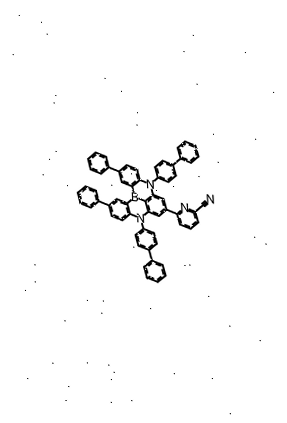 N#Cc1cccc(-c2cc3c4c(c2)N(c2ccc(-c5ccccc5)cc2)c2ccc(-c5ccccc5)cc2B4c2cc(-c4ccccc4)ccc2N3c2ccc(-c3ccccc3)cc2)n1